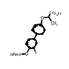 CCCCCOc1ccc(-c2ccc(OC(C)C(=O)O)cc2)cc1F